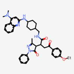 CCOc1ccc(C(=O)CC(C(=O)NCC2CCC(Nc3cc(N(C)C)c4ccccc4n3)CC2)C2C(=O)N(c3ccccc3)N=C2C)cc1